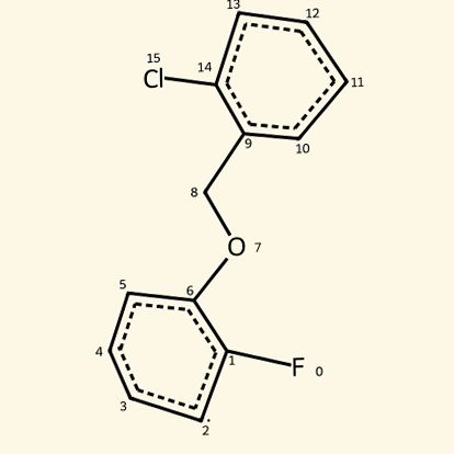 Fc1[c]cccc1OCc1ccccc1Cl